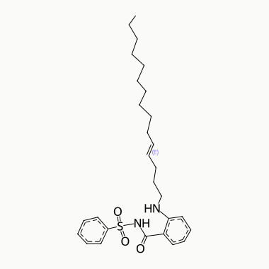 CCCCCCCCCC/C=C/CCCNc1ccccc1C(=O)NS(=O)(=O)c1ccccc1